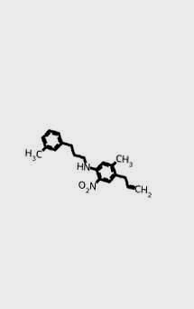 C=CCc1cc([N+](=O)[O-])c(NCCCc2cccc(C)c2)cc1C